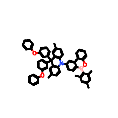 Cc1cc(C)c(B2Oc3ccccc3-c3cc(N4c5ccc(C)cc5C(c5cccc(Oc6ccccc6)c5)(c5cccc(Oc6ccccc6)c5)c5cc(C)ccc54)ccc32)c(C)c1